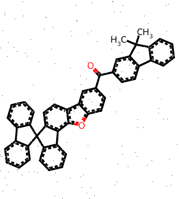 CC1(C)c2ccccc2-c2ccc(C(=O)c3ccc4oc5c6c(ccc5c4c3)C3(c4ccccc4-c4ccccc43)c3ccccc3-6)cc21